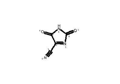 N#CC1=NC(=O)NC1=O